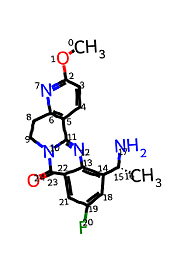 COc1ccc2c(n1)CCn1c-2nc2c([C@@H](C)N)cc(F)cc2c1=O